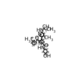 CC[C@@H](C)Nc1cc(C)c(-c2sc(C(=O)N[C@H]3CC[C@H](O)C3)nc2C(=O)N2CCC[C@@H]2C)cn1